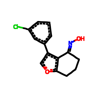 ON=C1CCCc2occ(-c3cccc(Cl)c3)c21